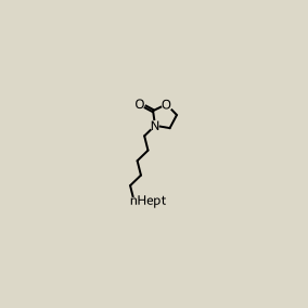 CCCCCCCCCCCCN1CCOC1=O